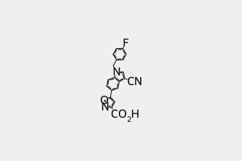 N#Cc1cn(Cc2ccc(F)cc2)c2ccc(-c3cc(C(=O)O)no3)cc12